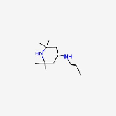 CCCNC1CC(C)(C)NC(C)(C)C1